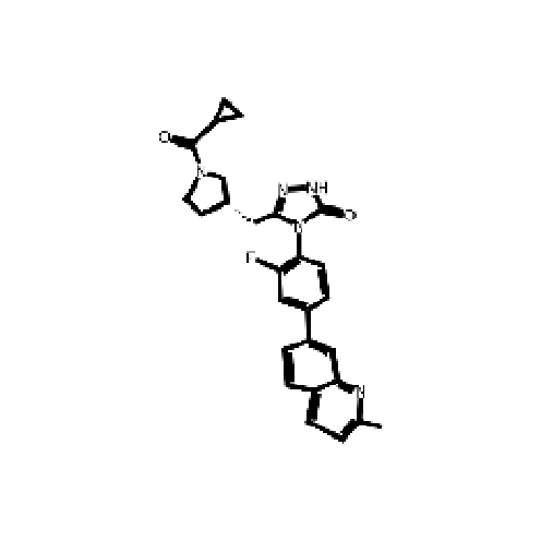 Cc1ccc2ccc(-c3ccc(-n4c(C[C@@H]5CCN(C(=O)C6CC6)C5)n[nH]c4=O)c(F)c3)cc2n1